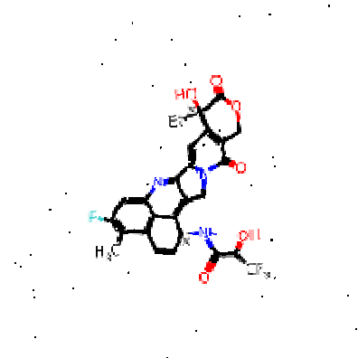 CC[C@@]1(O)C(=O)OCc2c1cc1n(c2=O)Cc2c-1nc1cc(F)c(C)c3c1c2[C@@H](NC(=O)C(O)C(F)(F)F)CC3